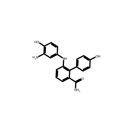 NC(=O)c1cccc(Nc2ccc(O)c(N)c2)c1-c1ccc(O)cc1